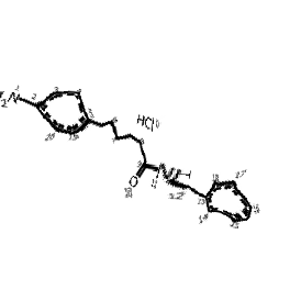 Cl.Nc1ccc(CCCC(=O)NCc2ccccc2)cc1